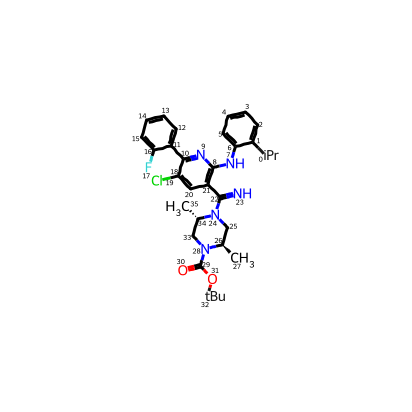 CC(C)c1ccccc1Nc1nc(-c2ccccc2F)c(Cl)cc1C(=N)N1C[C@@H](C)N(C(=O)OC(C)(C)C)C[C@@H]1C